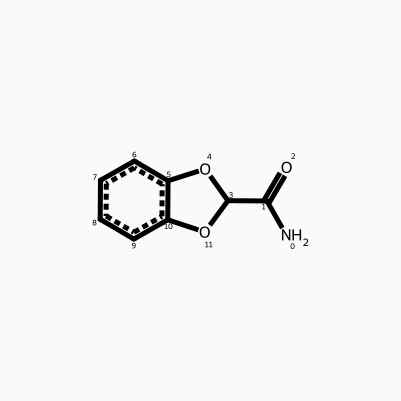 NC(=O)C1Oc2ccccc2O1